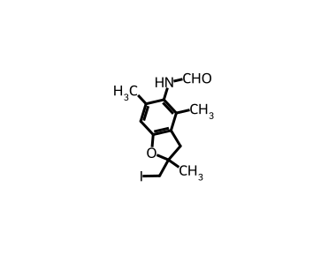 Cc1cc2c(c(C)c1NC=O)CC(C)(CI)O2